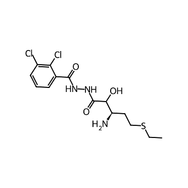 CCSCC[C@@H](N)C(O)C(=O)NNC(=O)c1cccc(Cl)c1Cl